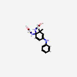 CC1(C)C=C(Nc2ccccc2)C=CC1(N=C=O)N=C=O